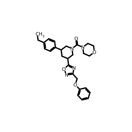 CCc1ccc(C2CC(c3nc(COc4ccccc4)no3)CN(C(=O)N3CCOCC3)C2)cc1